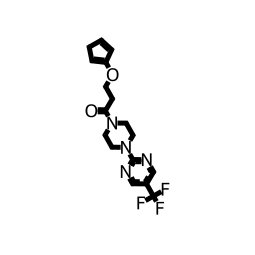 O=C(CCOC1=CCC=C1)N1CCN(c2ncc(C(F)(F)F)cn2)CC1